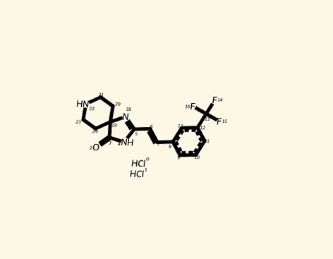 Cl.Cl.O=C1NC(C=Cc2cccc(C(F)(F)F)c2)=NC12CCNCC2